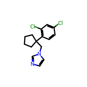 Clc1ccc(C2(Cn3ccnc3)CCCC2)c(Cl)c1